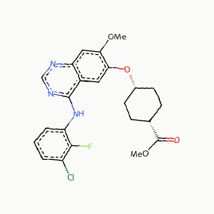 COc1cc2ncnc(Nc3cccc(Cl)c3F)c2cc1O[C@H]1CC[C@@H](C(=O)OC)CC1